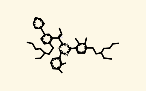 C/C=C(/c1nc(-c2cccc(C)c2C)nc(-c2ccc(CCC(CC)CCCC)c(C)c2C)n1)c1cc(-c2ccccc2)ccc1CCC(CC)CCCC